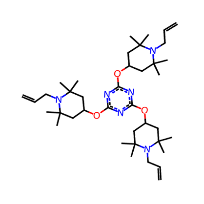 C=CCN1C(C)(C)CC(Oc2nc(OC3CC(C)(C)N(CC=C)C(C)(C)C3)nc(OC3CC(C)(C)N(CC=C)C(C)(C)C3)n2)CC1(C)C